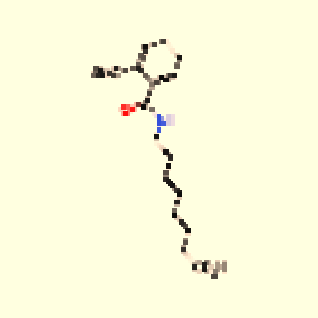 COC1=CCCC=C1C(=O)NCCCCCCCC(=O)O